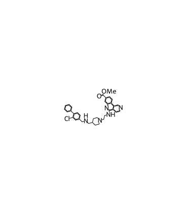 COC(=O)c1ccc2c(c1)nc(NCCN1CCC(CNCc3ccc(-c4ccccc4)c(Cl)c3)CC1)c1ccncc12